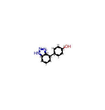 Oc1ccc(-c2cccc3[nH]nnc23)cc1